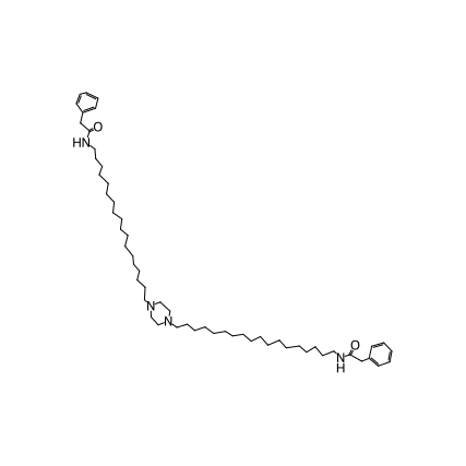 O=C(Cc1ccccc1)NCCCCCCCCCCCCCCCCCCN1CCN(CCCCCCCCCCCCCCCCCCNC(=O)Cc2ccccc2)CC1